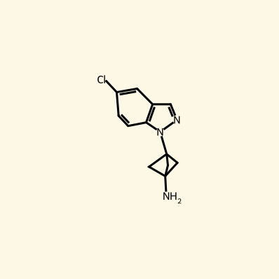 NC12CC(n3ncc4cc(Cl)ccc43)(C1)C2